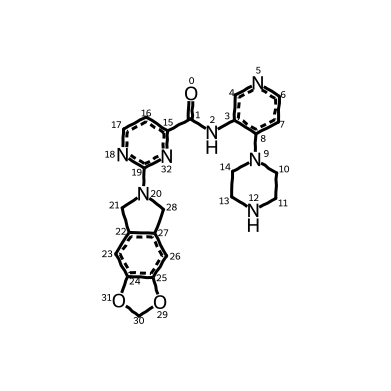 O=C(Nc1cnccc1N1CCNCC1)c1ccnc(N2Cc3cc4c(cc3C2)OCO4)n1